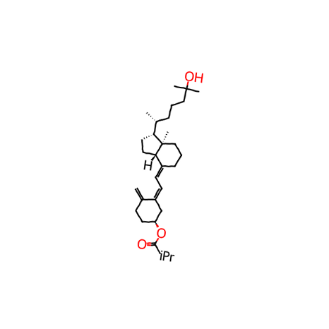 C=C1CC[C@H](OC(=O)C(C)C)C/C1=C/C=C1\CCC[C@]2(C)[C@@H]([C@H](C)CCCC(C)(C)O)CC[C@@H]12